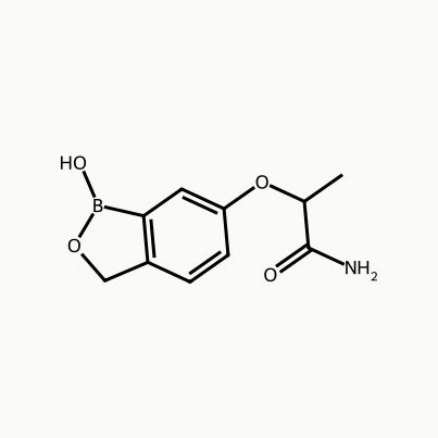 CC(Oc1ccc2c(c1)B(O)OC2)C(N)=O